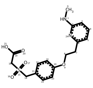 CNc1cccc(CCOc2ccc(CS(=O)(=O)CC(=O)O)cc2)n1